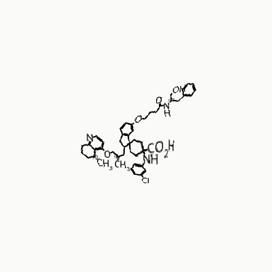 C[C@@H](COc1ccnc2c1[C@H](C)CCC2)CC1Cc2ccc(OCCCC(=O)N[C@@H](CO)Cc3ccccc3)cc2C12CCC(Nc1cccc(Cl)c1)(C(=O)O)CC2